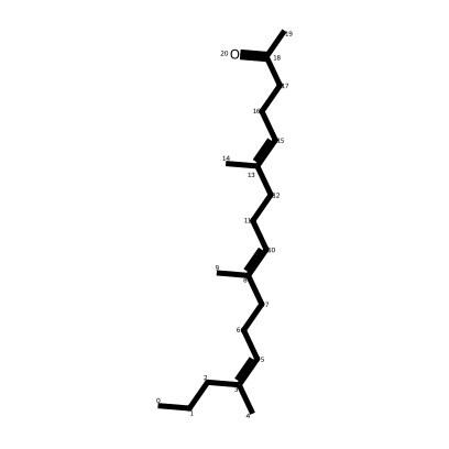 CCCC(C)=CCC/C(C)=C/CC/C(C)=C/CCC(C)=O